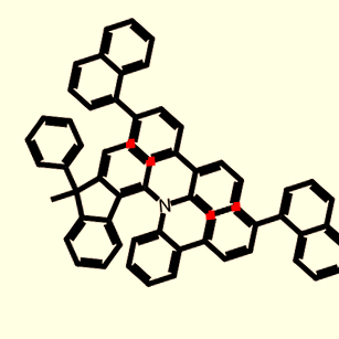 CC1(c2ccccc2)c2ccccc2-c2c(N(c3ccccc3-c3ccc(-c4cccc5ccccc45)cc3)c3ccccc3-c3ccc(-c4cccc5ccccc45)cc3)cccc21